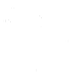 Cc1cc(F)ccc1Oc1cc(C(F)(F)F)ccc1C(=O)Nc1cccc(S(N)(=O)=O)c1